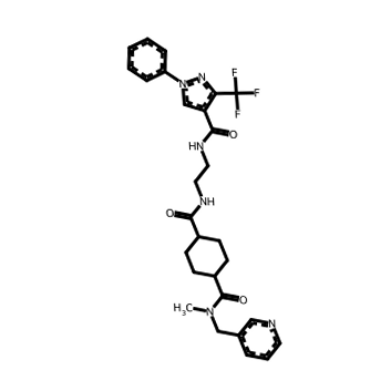 CN(Cc1cccnc1)C(=O)C1CCC(C(=O)NCCNC(=O)c2cn(-c3ccccc3)nc2C(F)(F)F)CC1